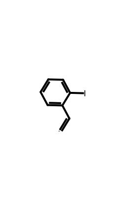 [CH]=Cc1ccccc1I